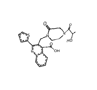 CC(O)C(=O)N1CCN(Cc2c(-c3cccs3)nc3ccccc3c2C(=O)O)C(=O)C1